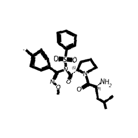 [CH2]c1ccc(C(=NOC)N(C(=O)[C@@H]2CCCN2C(=O)[C@H](N)CC(C)C)S(=O)(=O)c2ccccc2)cc1